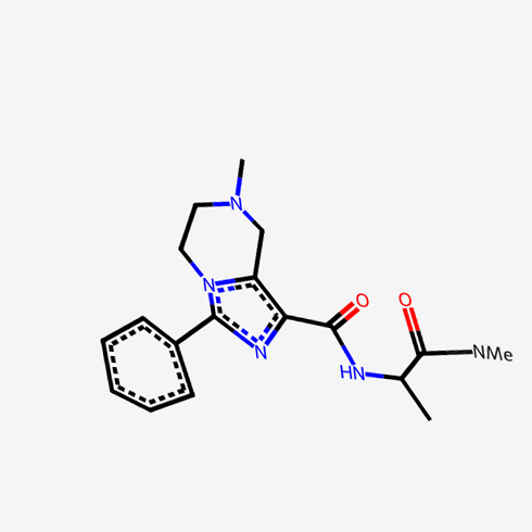 CNC(=O)C(C)NC(=O)c1nc(-c2ccccc2)n2c1CN(C)CC2